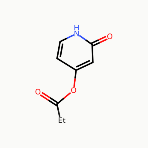 CCC(=O)Oc1cc[nH]c(=O)c1